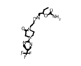 CCC(C=NOCCN1CCN(c2ncc(C(F)(F)F)cn2)CC1=O)OC(N)=O